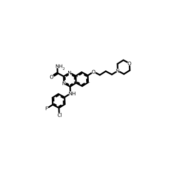 NC(=O)c1nc(Nc2ccc(F)c(Cl)c2)c2c[c]c(OCCCN3CCOCC3)cc2n1